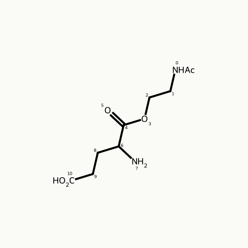 CC(=O)NCCOC(=O)C(N)CCC(=O)O